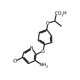 CC(Oc1ccc(Oc2ncc(Cl)cc2N)cc1)C(=O)O